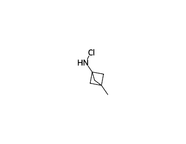 CC12CC(NCl)(C1)C2